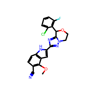 COc1c(C#N)ccc2[nH]c(-c3nc4n(n3)CCOC4c3c(F)cccc3Cl)cc12